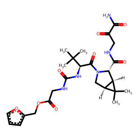 CC(C)(C)[C@H](NC(=O)NCC(=O)OCc1ccco1)C(=O)N1C[C@H]2[C@@H]([C@H]1C(=O)NCC(=O)C(N)=O)C2(C)C